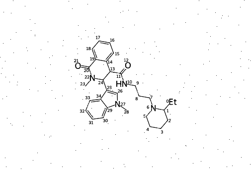 CCC1CCCCN1CCCNC(=O)C1c2ccccc2C(=O)N(C)C1c1cn(C)c2ccccc12